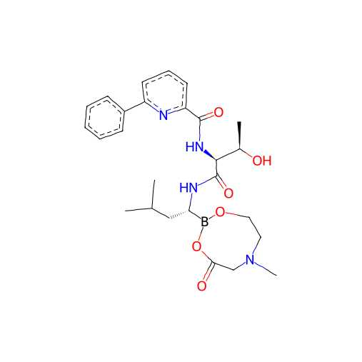 CC(C)C[C@H](NC(=O)[C@@H](NC(=O)c1cccc(-c2ccccc2)n1)[C@@H](C)O)B1OCCN(C)CC(=O)O1